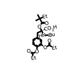 CCC(=O)Oc1ccc(C[C@](NC(C)CC)(OC(=O)C(C)(C)CC)C(=O)O)cc1OC(=O)CC